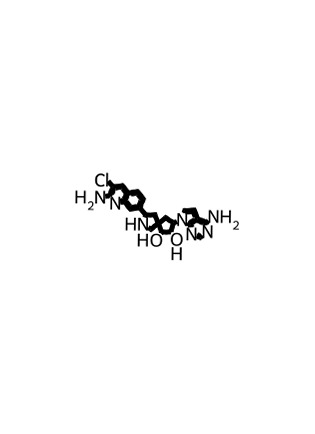 Nc1nc2cc(C3CC4(CN3)CC(n3ccc5c(N)ncnc53)C(O)C4O)ccc2cc1Cl